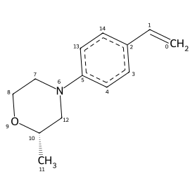 C=Cc1ccc(N2CCO[C@@H](C)C2)cc1